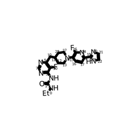 CCNC(=O)Nc1ncnc(CC2CCN(c3ccc(-c4ncc[nH]4)nc3F)CC2)c1F